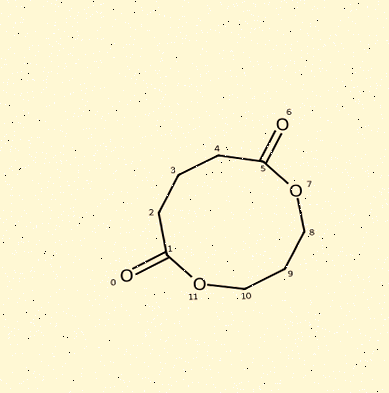 O=C1CCCC(=O)OCCCO1